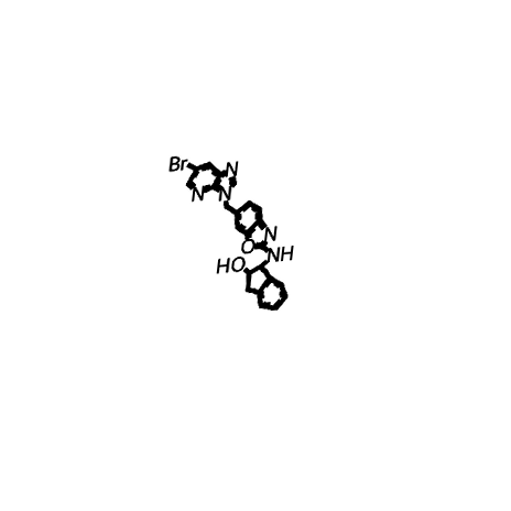 OC1Cc2ccccc2C1Nc1nc2ccc(Cn3cnc4cc(Br)cnc43)cc2o1